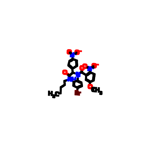 CCCCCNC(=O)C(c1ccc([N+](=O)[O-])cc1)N(C(=O)c1cc(OC)ccc1[N+](=O)[O-])c1ccc(Br)cc1